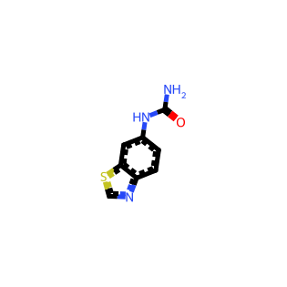 NC(=O)Nc1ccc2ncsc2c1